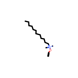 C=CO[N+](C)(C)CCCCCCCCCCCC